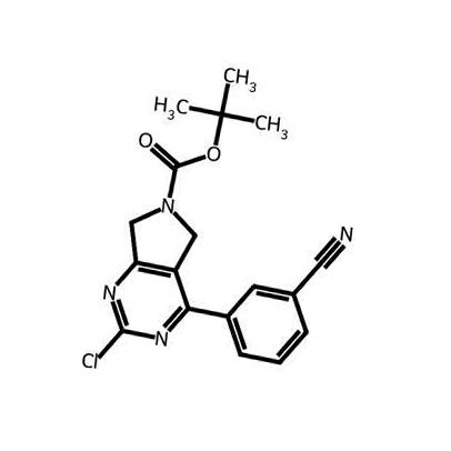 CC(C)(C)OC(=O)N1Cc2nc(Cl)nc(-c3cccc(C#N)c3)c2C1